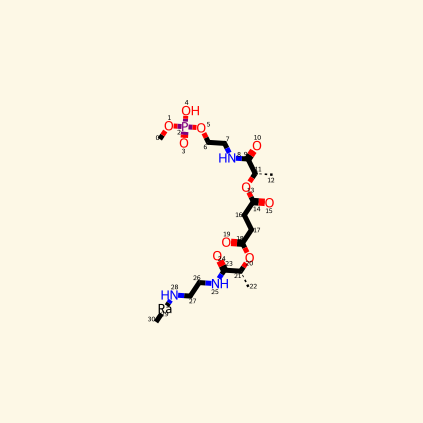 COP(=O)(O)OCCNC(=O)[C@H](C)OC(=O)CCC(=O)O[C@H](C)C(=O)NCC[NH][Ra][CH3]